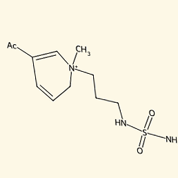 CC(=O)C1=C[N+](C)(CCCNS(N)(=O)=O)CC=C1